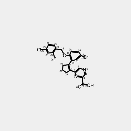 O=C(O)c1cncc(C2=C(c3cc(Br)ccc3OCc3ccc(Cl)cc3F)CCC2)n1